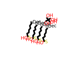 CCCCCCCCCCCCCCCCC(O)=S.CCCCCCCCCCCCCCCCC(O)=S.CCCCCCCCCCCCCCCCC(O)=S.CCCCCCCCCCCCCCCCC(O)=S.OCC(CO)(CO)CO